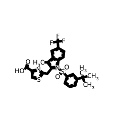 Cc1c(Cc2nc(C(=O)O)cs2)n(S(=O)(=O)c2cccc(C(C)(C)C)c2)c2ccc(C(F)(F)F)cc12